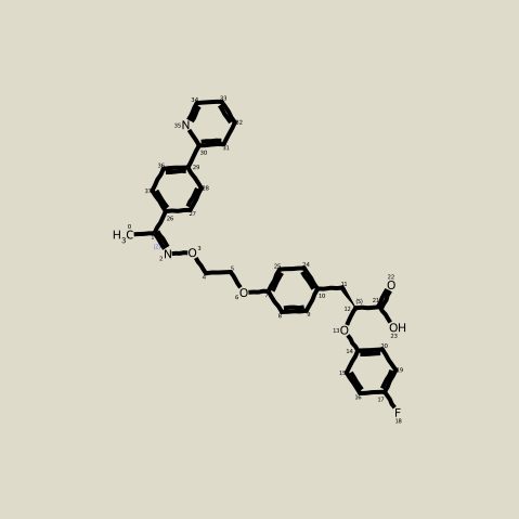 C/C(=N/OCCOc1ccc(C[C@H](Oc2ccc(F)cc2)C(=O)O)cc1)c1ccc(-c2ccccn2)cc1